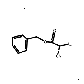 CC(=O)C(C#N)C(=O)OCc1ccccc1